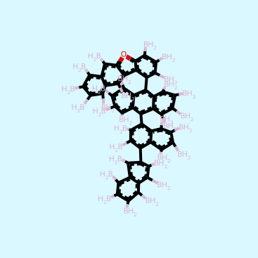 Bc1c(B)c(-c2c3c(B)c(B)c(B)c(B)c3c(-c3c(B)c(B)c(-c4c(B)c(B)c5c(B)c(B)c(B)c(B)c5c4B)c4c(B)c(B)c(B)c(B)c34)c3c(B)c(B)c(B)c(B)c23)c2c(oc3c(B)c4c(B)c(B)c(B)c(B)c4c(B)c32)c1B